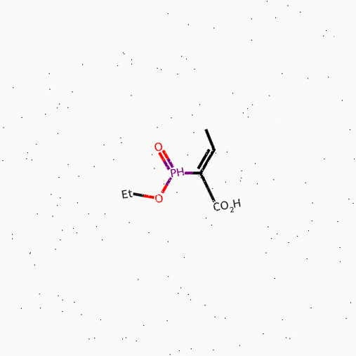 CC=C(C(=O)O)[PH](=O)OCC